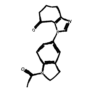 CC(=O)N1CCc2cc(-n3cnc4c3C(=O)CCC4)ccc21